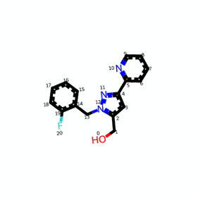 OCc1cc(-c2ccccn2)nn1Cc1ccccc1F